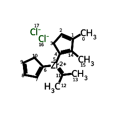 CC1=CC[C]([Zr+2]([C]2=CC=CC2)=[C](C)C)=C1C.[Cl-].[Cl-]